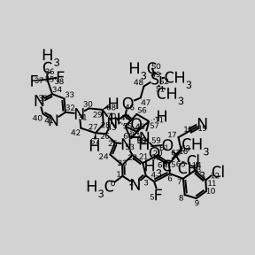 Cc1nc2c(F)c(-c3cccc(Cl)c3Cl)c(CCC#N)cc2c2c1cc([C@H]1[C@H]3C[C@H](CN(c4cc(C(C)(F)F)ncn4)C3)N1C(=O)OCC[Si](C)(C)C)n2[C@H]1[C@@H]2C[C@H]1N(C(=O)OC(C)(C)C)C2